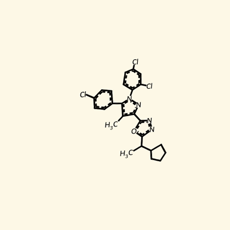 Cc1c(-c2nnc(C(C)C3CCCC3)o2)nn(-c2ccc(Cl)cc2Cl)c1-c1ccc(Cl)cc1